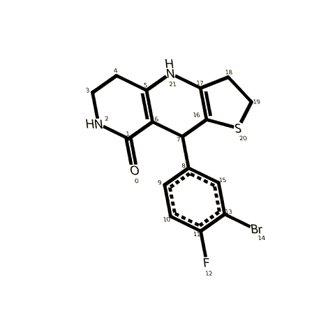 O=C1NCCC2=C1C(c1ccc(F)c(Br)c1)C1=C(CCS1)N2